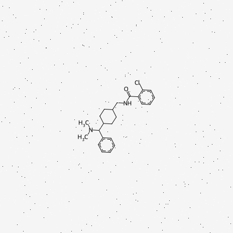 CN(C)C(c1ccccc1)C1CCC(CNC(=O)c2ccccc2Cl)CC1